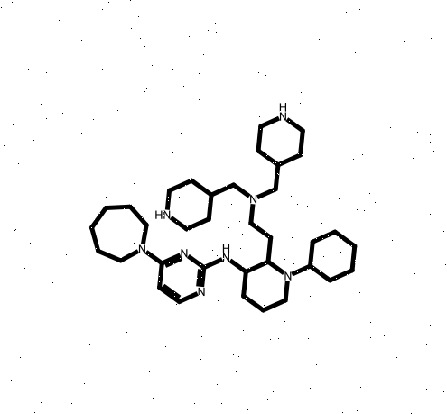 c1cc(N2CCCCCC2)nc(NC2CCCN(C3CCCCC3)C2CCN(CC2CCNCC2)CC2CCNCC2)n1